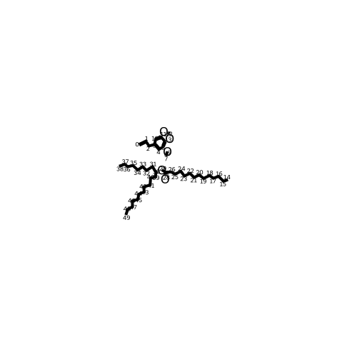 C=CCc1cc(OC)c2c(c1)OCO2.CCCCCCCCCCCCCC(=O)OC(CCCCCCCC)CCCCCCCCCCC